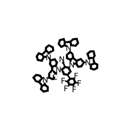 N#Cc1c(-n2c3ccc(-n4c5ccccc5c5ccccc54)cc3c3cc(-n4c5ccccc5c5ccccc54)ccc32)cc(-c2c(F)c(F)c(F)c(F)c2F)cc1-n1c2ccc(-n3c4ccccc4c4ccccc43)cc2c2cc(-n3c4ccccc4c4ccccc43)ccc21